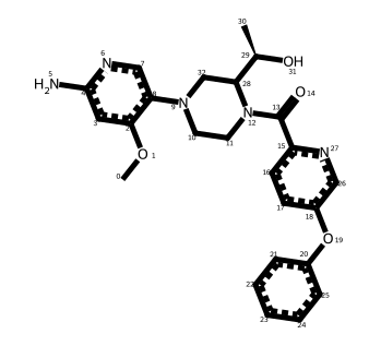 COc1cc(N)ncc1N1CCN(C(=O)c2ccc(Oc3ccccc3)cn2)C([C@@H](C)O)C1